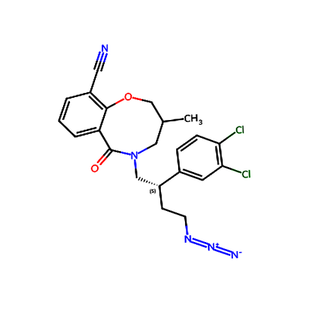 CC1COc2c(C#N)cccc2C(=O)N(C[C@@H](CCN=[N+]=[N-])c2ccc(Cl)c(Cl)c2)C1